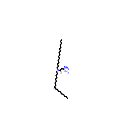 CCCCCCCC/C=C\CCCCCCCCN(CCCCCCCCCCCCCCCC)C(=O)CC(N)N